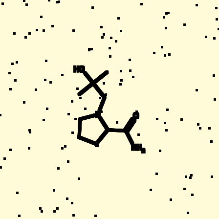 CC(C)(O)CN1CC[CH]C1C(N)=O